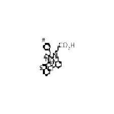 O=C(O)CCCN(Cc1cccc(Cl)c1)C(=O)C1(Cc2ccc(F)cc2)CCN1C(=O)c1csc2ccccc12